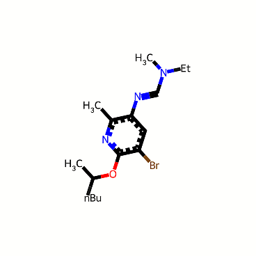 CCCCC(C)Oc1nc(C)c(/N=C/N(C)CC)cc1Br